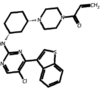 C=CC(=O)N1CCN([C@H]2CCC[C@@H](Nc3ncc(Cl)c(-c4csc5ccccc45)n3)C2)CC1